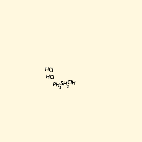 Cl.Cl.Cl.P.S